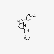 COc1ccc(-c2cnc3ccc(NCc4cccs4)nn23)cn1